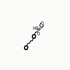 O=C(Cc1ccc(CCCCc2ccccc2)cc1)N(O)CN1CCOCC1